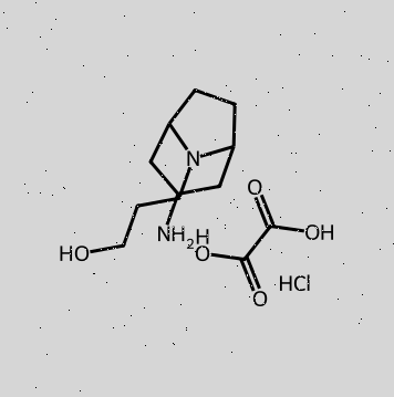 Cl.NC1CC2CCC(C1)N2CCCO.O=C(O)C(=O)O